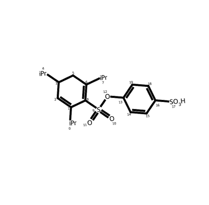 CC(C)C1=CC(C(C)C)CC(C(C)C)=C1S(=O)(=O)Oc1ccc(S(=O)(=O)O)cc1